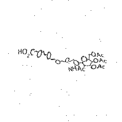 CC(=O)NC1C(OCCOCCOCCOCCOCC(=O)O)OC(COC(C)=O)C(OC(C)=O)C1OC(C)=O